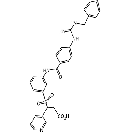 N=C(NCc1ccccc1)Nc1ccc(C(=O)Nc2cccc(S(=O)(=O)C(CC(=O)O)c3cccnc3)c2)cc1